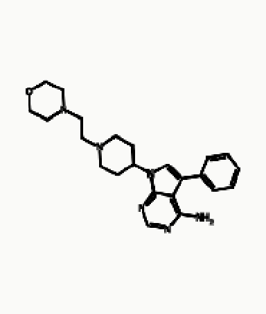 Nc1ncnc2c1c(-c1ccccc1)cn2C1CCN(CCN2CCOCC2)CC1